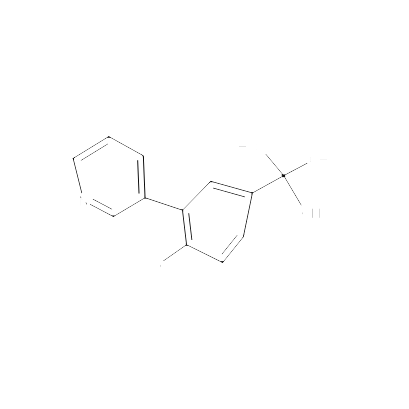 CC(C)(C)c1ccc(O)c(-c2cccnc2)c1